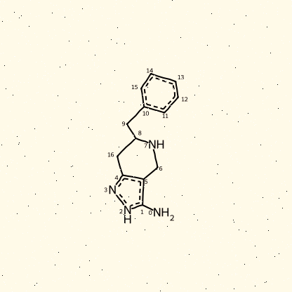 Nc1[nH]nc2c1CNC(Cc1ccccc1)C2